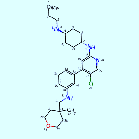 COCCN[C@H]1CC[C@H](Nc2cc(-c3cccc(NCC4(C)CCOCC4)c3)c(Cl)cn2)CC1